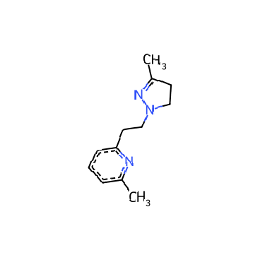 CC1=NN(CCc2cccc(C)n2)CC1